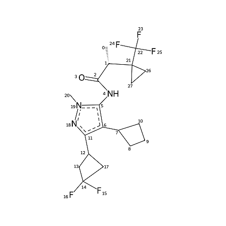 C[C@@H](C(=O)Nc1c(C2CCC2)c(C2CC(F)(F)C2)nn1C)C1(C(F)(F)F)CC1